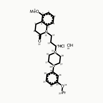 COc1cccc2c1CCC(=O)N2CCCN1CCN(c2cccc(OC(C)C)c2)CC1.Cl.Cl